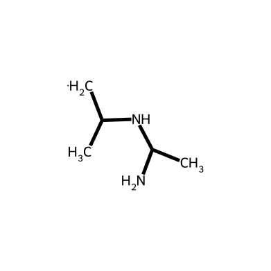 [CH2]C(C)NC(C)N